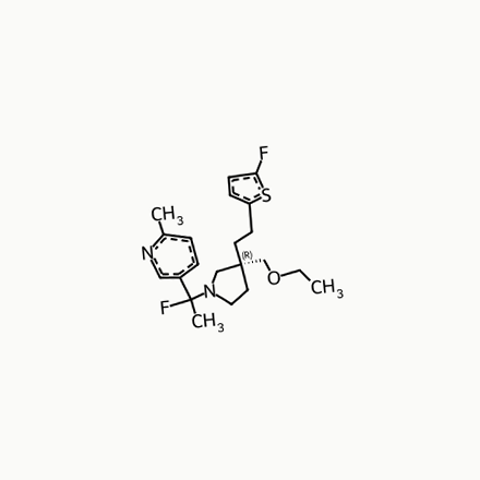 CCOC[C@]1(CCc2ccc(F)s2)CCN(C(C)(F)c2ccc(C)nc2)C1